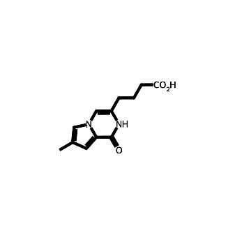 Cc1cc2c(=O)[nH]c(CCCC(=O)O)cn2c1